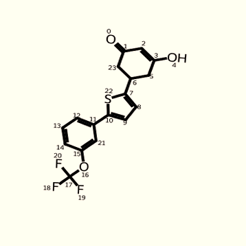 O=C1C=C(O)CC(c2ccc(-c3cccc(OC(F)(F)F)c3)s2)C1